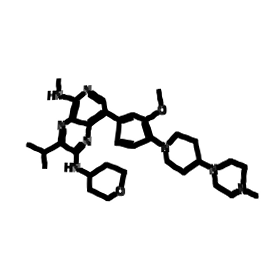 CNc1ncc(-c2ccc(N3CCC(N4CCN(C)CC4)CC3)c(OC)c2)c2nc(NC3CCOCC3)c(C(C)C)nc12